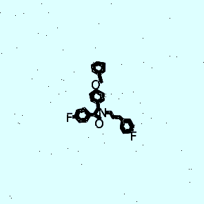 O=C1C(c2ccc(F)cc2)C(c2ccc(OCc3ccccc3)cc2)N1CCCc1ccc(F)cc1